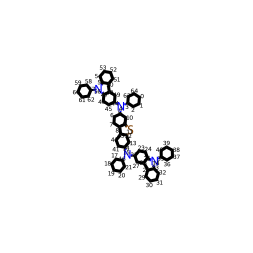 c1ccc(N(c2ccc3c(c2)sc2cc(N(c4ccccc4)c4ccc5c(c4)c4ccccc4n5-c4ccccc4)ccc23)c2ccc3c(c2)c2ccccc2n3-c2ccccc2)cc1